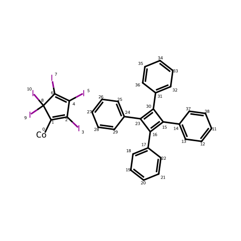 [Co][C]1=C(I)C(I)=C(I)C1(I)I.c1ccc(C2=C(c3ccccc3)C(c3ccccc3)=C2c2ccccc2)cc1